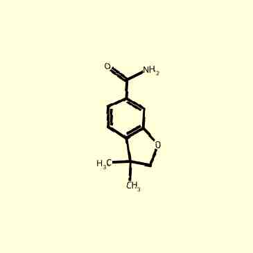 CC1(C)COc2cc(C(N)=O)ccc21